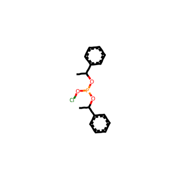 CC(OP(OCl)OC(C)c1ccccc1)c1ccccc1